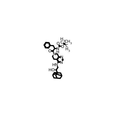 CC(C)(C)OC(=O)NC(Cc1ccccc1)C(=O)N1CCc2c(ncnc2NC[C@@H](O)C23CC4CC(CC(C4)C2)C3)C1